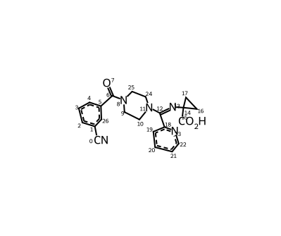 N#Cc1cccc(C(=O)N2CCN(C(=NC3(C(=O)O)CC3)c3ccccn3)CC2)c1